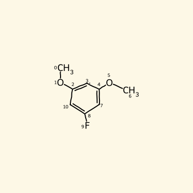 COc1[c]c(OC)cc(F)c1